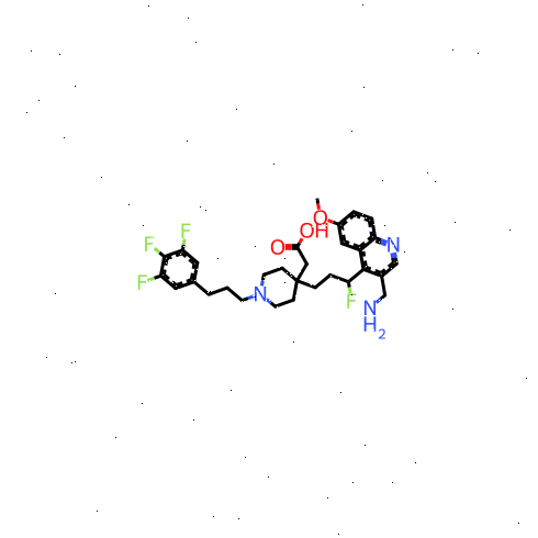 COc1ccc2ncc(CN)c(C(F)CCC3(CC(=O)O)CCN(CCCc4cc(F)c(F)c(F)c4)CC3)c2c1